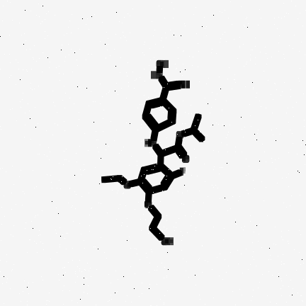 CCOc1cc(C(Nc2ccc(C(=N)NO)cc2)C(=O)OC(C)C)c(F)cc1OCCO